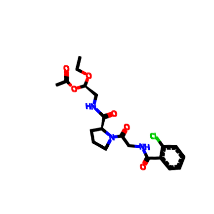 CCO[C@@H](CNC(=O)[C@@H]1CCCN1C(=O)CNC(=O)c1ccccc1Cl)OC(C)=O